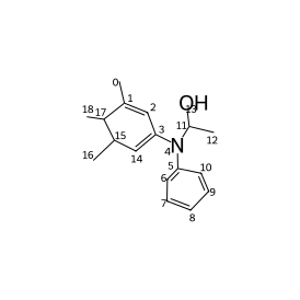 CC1=CC(N(c2ccccc2)C(C)O)=CC(C)C1C